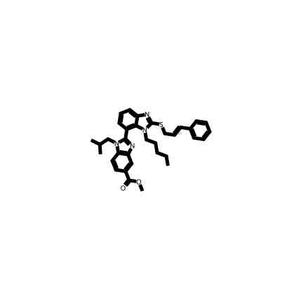 CCCCCn1c(SC/C=C/c2ccccc2)nc2cccc(-c3nc4cc(C(=O)OC)ccc4n3CC(C)C)c21